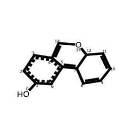 Oc1ccc2c(c1)=C1C=CC=CC1OC=2